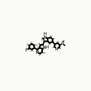 CN(C)c1cncc(-c2ccc3[nH]nc(-c4cc5c(-c6cccc(F)c6)nccc5[nH]4)c3c2)c1